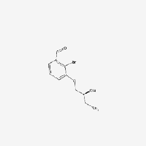 CC[C@H](O)COc1cccc(C=O)c1Br